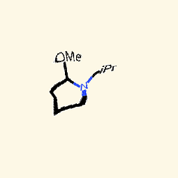 COC1CCCN1C(C)C